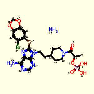 CC(OP(=O)(O)O)C(=O)N1CCC(CCn2c(Sc3cc4c(cc3Br)OCO4)nc3c(N)ncnc32)CC1.N